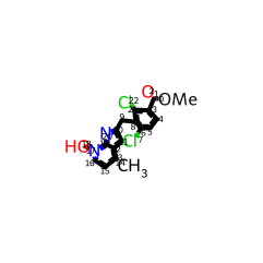 COC(=O)c1ccc(Cl)c(Cc2cc3c(C)ccn(O)c-3n2)c1Cl